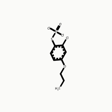 CCCOc1ccc(SP(=O)(Cl)Cl)c(Cl)c1